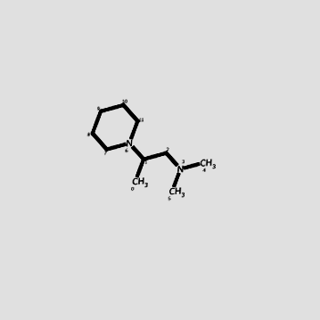 CC(CN(C)C)N1CCCCC1